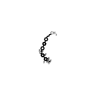 CCCCCC1CCC(c2ccc(C3CCC(C(F)(F)Oc4ccc(-c5cc(F)c(OC(F)(F)F)c(F)c5)c(F)c4)CC3)cc2)CC1